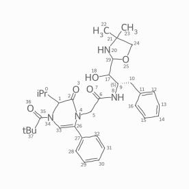 CC(C)C1C(=O)N(CC(=O)N[C@@H](Cc2ccccc2)C(O)C2NC(C)(C)CO2)C(c2ccccc2)=CN1C(=O)C(C)(C)C